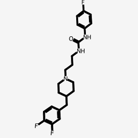 O=C(NCCCN1CCC(Cc2ccc(F)c(F)c2)CC1)Nc1ccc(F)cc1